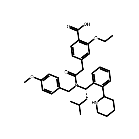 CCOc1cc(CC(=O)N(Cc2ccc(OC)cc2)[C@@H](CC(C)C)c2ccccc2C2CCCCN2)ccc1C(=O)O